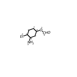 CCC1CCC(OC=O)CC1N